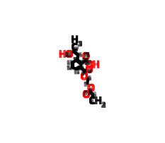 C=CC(=O)OCCOC(=O)c1cccc(CC(C)O)c1C(=O)O